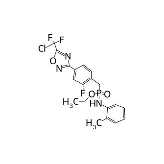 CCOP(=O)(Cc1ccc(-c2noc(C(F)(F)Cl)n2)cc1F)Nc1ccccc1C